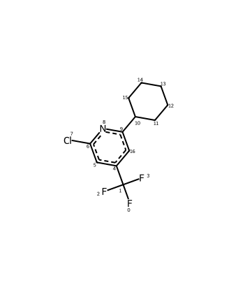 FC(F)(F)c1cc(Cl)nc(C2CCCCC2)c1